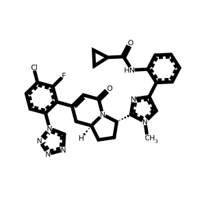 Cn1cc(-c2ccccc2NC(=O)C2CC2)nc1[C@@H]1CC[C@H]2CC(c3c(-n4cnnn4)ccc(Cl)c3F)=CC(=O)N21